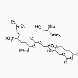 CCCCCCC(CCCC(=O)O)OC(=O)OCCNCCOC(=O)OC(CCCCCC)CCC(CCN(CC)CC)C(=O)O.CCCCCCC(CO)CCCC